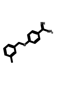 Cc1cccc(COc2ccc(C(=N)N)cc2)c1